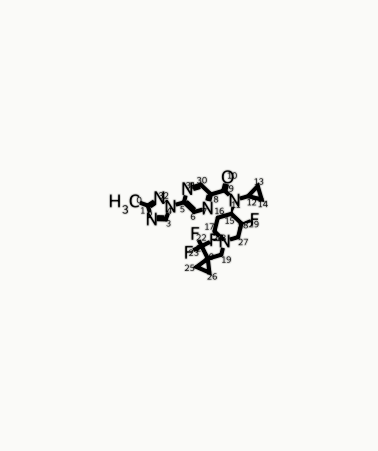 Cc1ncn(-c2cnc(C(=O)N(C3CC3)[C@@H]3CCN(CC4(C(F)(F)F)CC4)C[C@@H]3F)cn2)n1